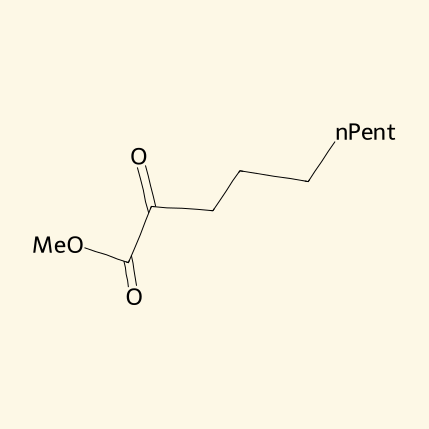 CCCCCCCCC(=O)C(=O)OC